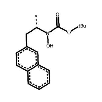 C[C@@H](Cc1ccc2ccccc2c1)N(O)C(=O)OC(C)(C)C